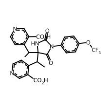 CC(c1ccncc1C(=O)O)C1(C(C)c2ccncc2C(=O)O)NC(=O)N(c2ccc(OC(F)(F)F)cc2)C1=O